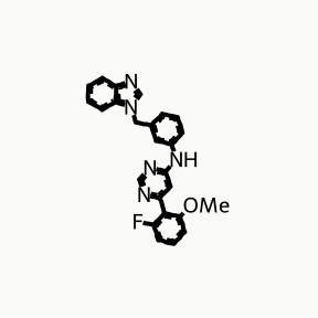 COc1cccc(F)c1-c1cc(Nc2cccc(Cn3cnc4ccccc43)c2)ncn1